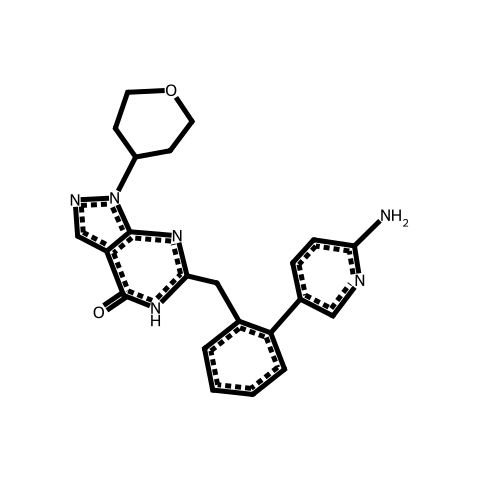 Nc1ccc(-c2ccccc2Cc2nc3c(cnn3C3CCOCC3)c(=O)[nH]2)cn1